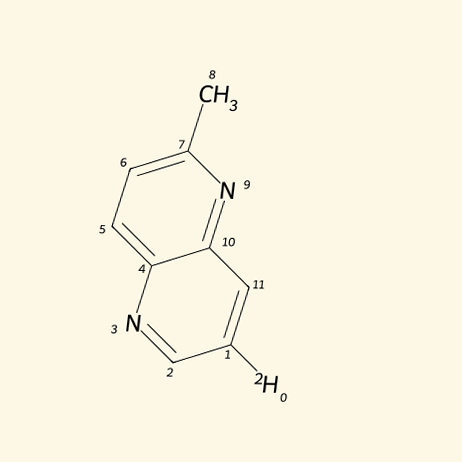 [2H]c1cnc2ccc(C)nc2c1